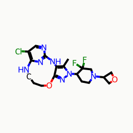 Cc1c2c(nn1C1CCN(C3COC3)CC1(F)F)OCCCNc1nc(ncc1Cl)N2